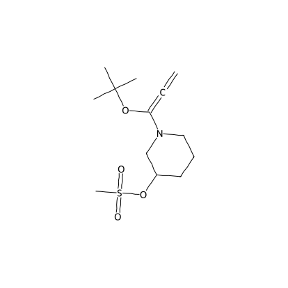 C=C=C(OC(C)(C)C)N1CCCC(OS(C)(=O)=O)C1